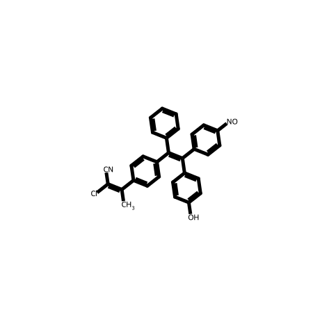 C/C(=C(\Cl)C#N)c1ccc(/C(=C(\c2ccc(O)cc2)c2ccc(N=O)cc2)c2ccccc2)cc1